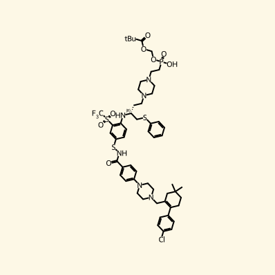 CC1(C)CCC(c2ccc(Cl)cc2)=C(CN2CCN(c3ccc(C(=O)NSc4ccc(N[C@H](CCN5CCN(CCP(=O)(O)OCOC(=O)C(C)(C)C)CC5)CSc5ccccc5)c(S(=O)(=O)C(F)(F)F)c4)cc3)CC2)C1